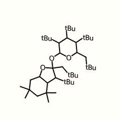 CC(C)(C)CC1OC(OC2(CC(C)(C)C)OC3CC(C)(C)CC(C)(C)C3C2C(C)(C)C)C(C(C)(C)C)C(C(C)(C)C)C1C(C)(C)C